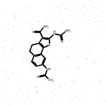 CC(=O)Nc1ccc2c(c1)-c1sc(NC(N)=O)c(C(N)=O)c1CC2